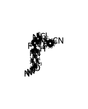 Cc1nc2cc(F)c(-c3cnc(N4CCN(C(=O)CN=[N+]=[N-])[C@H](C)C4)nc3)nc2c(N[C@H](C)c2cc(C#N)ccc2F)c1Cl